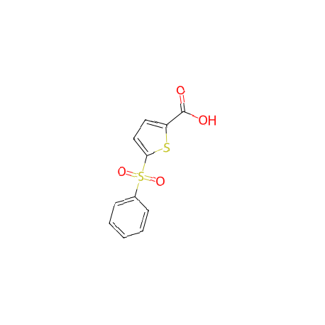 O=C(O)c1ccc(S(=O)(=O)c2ccccc2)s1